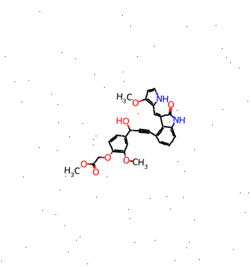 COC(=O)COc1ccc(C(O)C#Cc2cccc3c2C(=Cc2[nH]ccc2OC)C(=O)N3)cc1OC